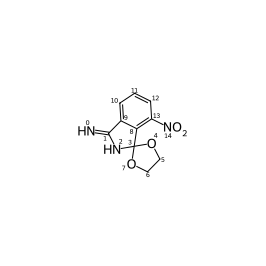 N=C1NC2(OCCO2)c2c1cccc2[N+](=O)[O-]